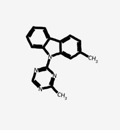 Cc1ccc2c3ccccc3n(-c3ncnc(C)n3)c2c1